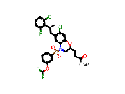 COC(=O)CCC1CN(S(=O)(=O)c2cccc(OC(F)F)c2)c2cc(C=C(C)c3c(F)cccc3Cl)c(Cl)cc2O1